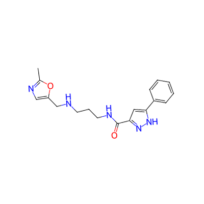 Cc1ncc(CNCCCNC(=O)c2cc(-c3ccccc3)[nH]n2)o1